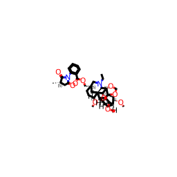 CCN1C[C@]2(COC(=O)c3ccccc3N3C(=O)C[C@H](C)C3=O)CC[C@H](OC)[C@@]34C1[C@]1(OCO[C@@]15C[C@H](OC)[C@H]1C[C@@H]3[C@@H]5[C@H]1OC)[C@@H](OC)[C@H]24